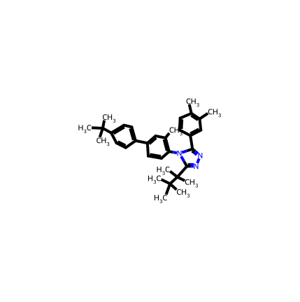 Cc1ccc(-c2nnc(C(C)(C)C(C)(C)C)n2-c2ccc(-c3ccc(C(C)(C)C)cc3)cc2C)cc1C